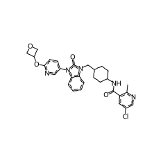 Cc1ncc(Cl)cc1C(=O)NC1CCC(Cn2c(=O)n(-c3ccc(OC4COC4)nc3)c3ccccc32)CC1